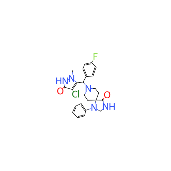 Cn1[nH]c(=O)c(Cl)c1C(c1ccc(F)cc1)N1CCC2(CC1)C(=O)NCN2c1ccccc1